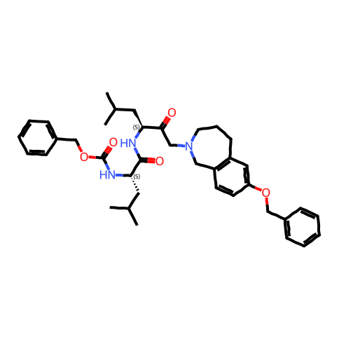 CC(C)C[C@H](NC(=O)[C@H](CC(C)C)NC(=O)OCc1ccccc1)C(=O)CN1CCCc2cc(OCc3ccccc3)ccc2C1